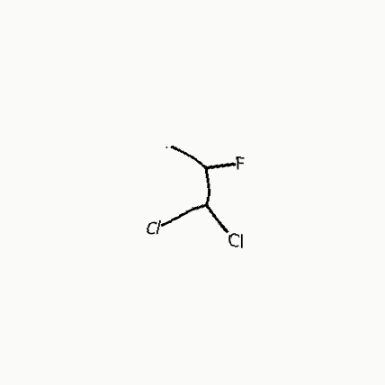 [CH2]C(F)C(Cl)Cl